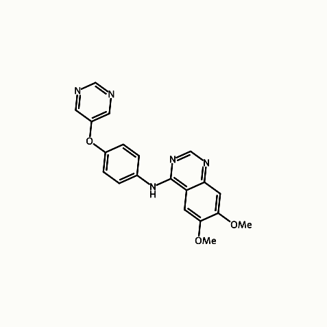 COc1cc2ncnc(Nc3ccc(Oc4cncnc4)cc3)c2cc1OC